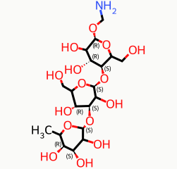 CC1O[C@@H](O[C@@H]2C(O)[C@H](O[C@@H]3C(CO)O[C@H](OCN)C(O)[C@H]3O)OC(CO)[C@H]2O)C(O)[C@@H](O)[C@H]1O